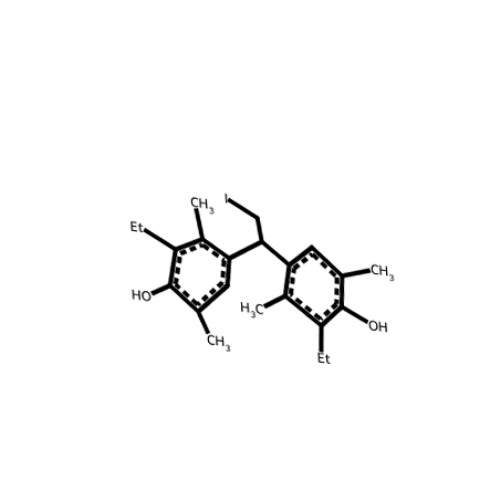 CCc1c(C)c(C(CI)c2cc(C)c(O)c(CC)c2C)cc(C)c1O